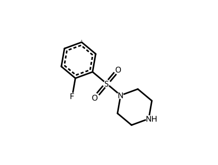 O=S(=O)(c1c[c]ccc1F)N1CCNCC1